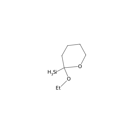 CCOC1([SiH3])CCCCO1